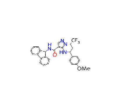 COc1ccc(C2CC(C(F)(F)F)n3ncc(C(=O)NC4c5ccccc5-c5ccccc54)c3N2)cc1